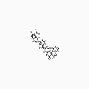 CC(=O)c1c(N2CCOCC2)c2ccc(Nc3nccc(-c4ccc5nc(C)n(C(C)C)c5c4)n3)cc2oc1=O